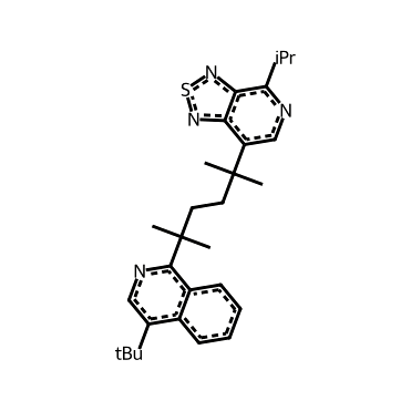 CC(C)c1ncc(C(C)(C)CCC(C)(C)c2ncc(C(C)(C)C)c3ccccc23)c2nsnc12